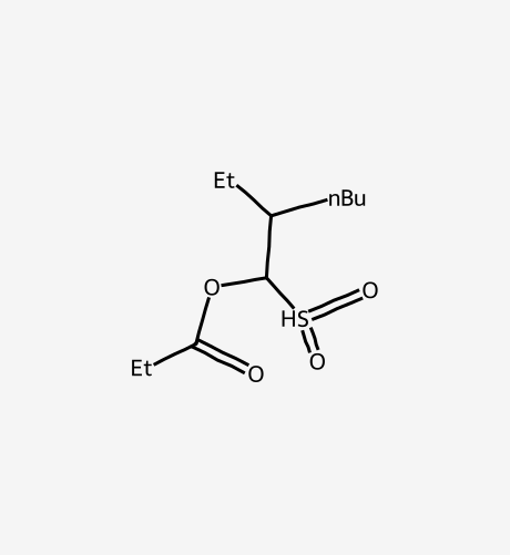 CCCCC(CC)C(OC(=O)CC)[SH](=O)=O